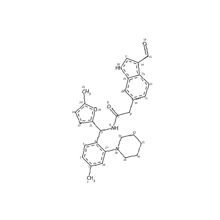 Cc1ccc(C(NC(=O)Cc2ccc3c(C=O)c[nH]c3c2)c2ccc(C)o2)c(N2CCCCC2)c1